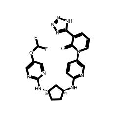 O=c1c(-c2nnn[nH]2)cccn1-c1ccc(N[C@H]2CC[C@H](Nc3ncc(OC(F)F)cn3)C2)nc1